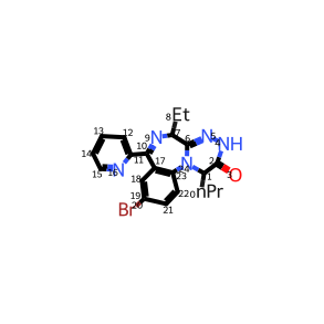 CCCC1C(=O)NN=C2C(CC)N=C(c3ccccn3)c3cc(Br)ccc3N21